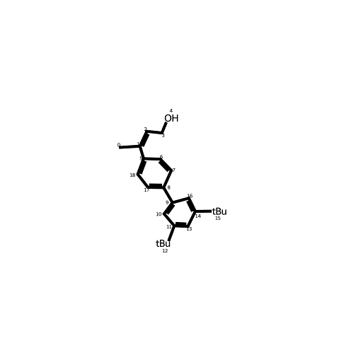 C/C(=C/CO)c1ccc(-c2cc(C(C)(C)C)cc(C(C)(C)C)c2)cc1